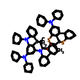 C=C1B2c3ccccc3N(c3ccccc3)c3cc(N(c4ccccc4)c4ccccc4)cc(c32)N(c2ccccc2-c2ccccc2)/C1=C/C1=C(C)B2Sc3ccccc3-c3cc(N(c4ccccc4)c4ccccc4)cc(c32)S1